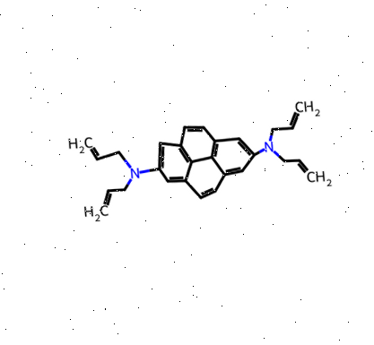 C=CCN(CC=C)c1cc2ccc3cc(N(CC=C)CC=C)cc4ccc(c1)c2c34